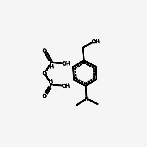 CN(C)c1ccc(CO)cc1.O=[PH](O)O[PH](=O)O